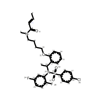 C/C=C/C(=O)N(C)CCCCOc1ccccc1C(C)N(c1cc(F)ccc1F)S(=O)(=O)c1ccc(Cl)cc1